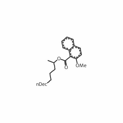 CCCCCCCCCCCCCC(C)OC(=O)c1c(OC)ccc2ccccc12